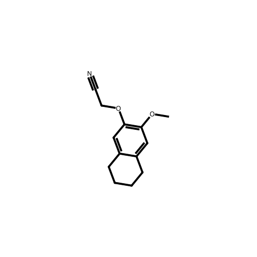 COc1cc2c(cc1OCC#N)CCCC2